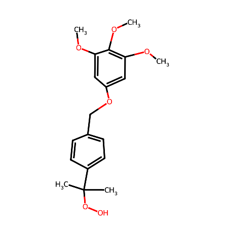 COc1cc(OCc2ccc(C(C)(C)OO)cc2)cc(OC)c1OC